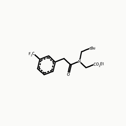 CCOC(=O)CN(CC(C)(C)C)C(=O)Cc1cccc(C(F)(F)F)c1